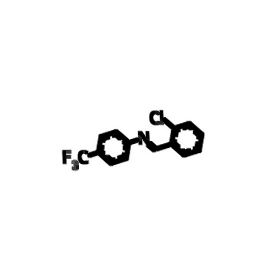 FC(F)(F)c1ccc(/N=C/c2ccccc2Cl)cc1